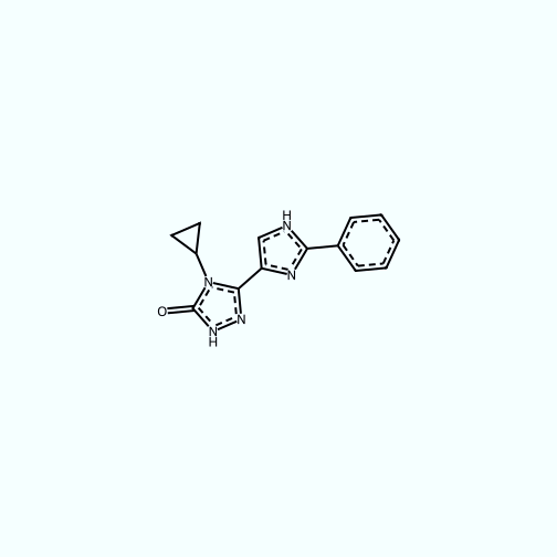 O=c1[nH]nc(-c2c[nH]c(-c3ccccc3)n2)n1C1CC1